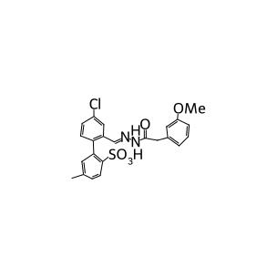 COc1cccc(CC(=O)NN=Cc2cc(Cl)ccc2-c2cc(C)ccc2S(=O)(=O)O)c1